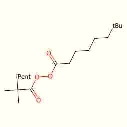 CCCC(C)C(C)(C)C(=O)OOC(=O)CCCCCC(C)(C)C